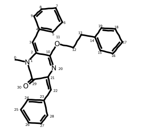 Cn1c(=Cc2ccccc2)c(OCCc2ccccc2)nc(=Cc2ccccc2)c1=O